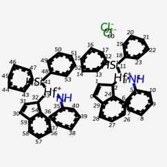 C1=C[CH]([Hf+]([NH]c2ccccc2)[SiH](c2ccccc2)c2ccccc2)c2ccccc21.C1=C[CH]([Hf+]([NH]c2ccccc2)[SiH](c2ccccc2)c2ccccc2)c2ccccc21.[Cl-].[Cl-]